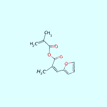 C=C(C)C(=O)OC(=O)C(C)=Cc1ccco1